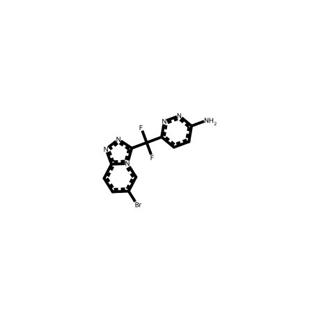 Nc1ccc(C(F)(F)c2nnc3ccc(Br)cn23)nn1